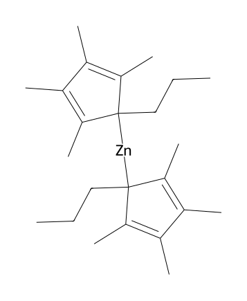 CCC[C]1([Zn][C]2(CCC)C(C)=C(C)C(C)=C2C)C(C)=C(C)C(C)=C1C